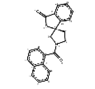 O=C1O[C@]2(CCN(C(=O)c3cccc4ccccc34)C2)c2ccccc21